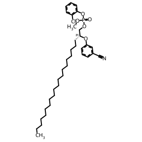 CCCCCCCCCCCCCCCCCCCC[C@H](COP(=O)(OC)Oc1ccccc1Cl)Oc1cccc(C#N)c1